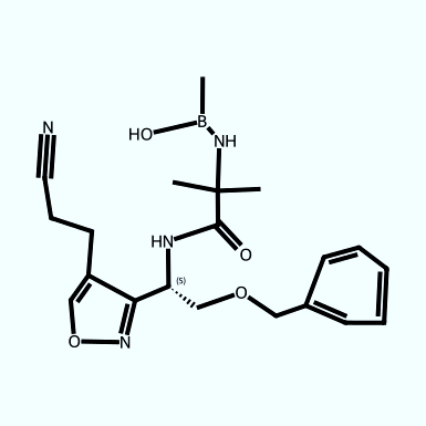 CB(O)NC(C)(C)C(=O)N[C@H](COCc1ccccc1)c1nocc1CCC#N